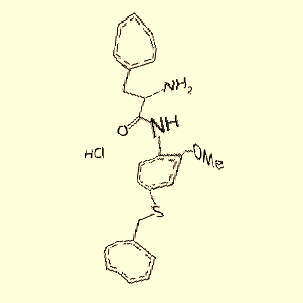 COc1cc(SCc2ccccc2)ccc1NC(=O)C(N)Cc1ccccc1.Cl